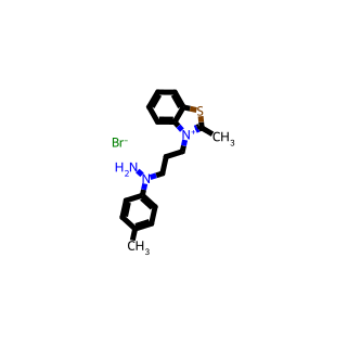 Cc1ccc(N(N)CCC[n+]2c(C)sc3ccccc32)cc1.[Br-]